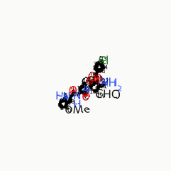 COc1cccc2[nH]c(C(=O)N[C@H]3CC(C)N([C@@H](C[C@@H](C=O)CCN)C(=O)COC(=O)c4ccc(Cl)cc4)C3=O)cc12